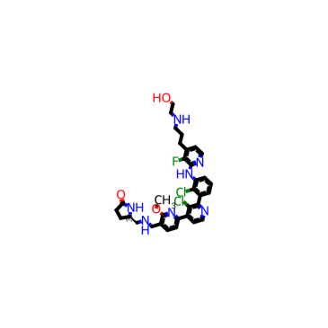 COc1nc(-c2ccnc(-c3cccc(Nc4nccc(CCCNCCO)c4F)c3Cl)c2Cl)ccc1CNC[C@H]1CCC(=O)N1